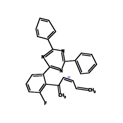 C=C/C=C\C(=C)c1c(F)cccc1-c1nc(-c2ccccc2)nc(-c2ccccc2)n1